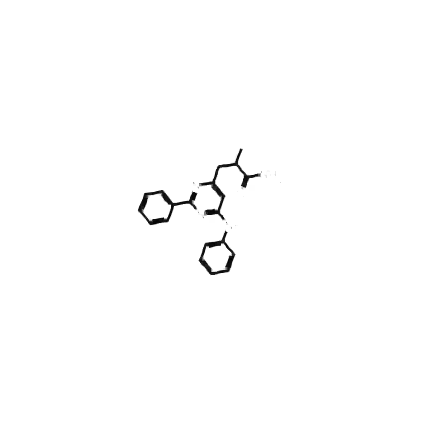 CC(Cc1cc(Nc2ccccc2)nc(-c2ccccc2)n1)C(N)=O